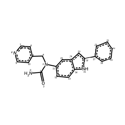 NC(=O)N(Cc1ccncc1)c1ccc2[nH]c(-c3ccccc3)cc2c1